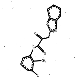 Cc1c(Cl)cccc1NC(=O)C(=O)Cc1nc2ccccc2o1